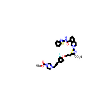 CC(C)(C)OC(=O)N1CCN(CC#Cc2ccc(OCCCc3sc(N4CCc5cccc(C(=O)Nc6nc7ccccc7s6)c5C4)nc3C(=O)O)c(F)c2)CC1